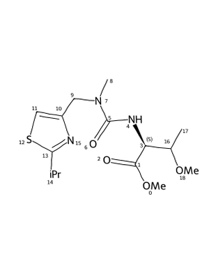 COC(=O)[C@@H](NC(=O)N(C)Cc1csc(C(C)C)n1)C(C)OC